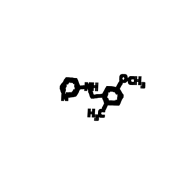 COc1ccc(C)c(CNc2cccnc2)c1